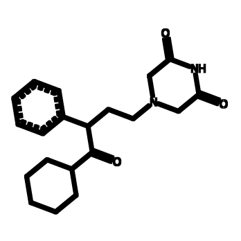 O=C1CN(CCC(C(=O)C2CCCCC2)c2ccccc2)CC(=O)N1